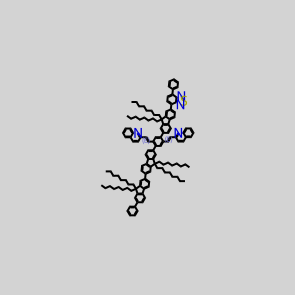 CCCCCCCCC1(CCCCCCCC)c2cc(-c3ccccc3)ccc2-c2ccc(-c3ccc4c(c3)C(CCCCCCCC)(CCCCCCCC)c3cc(-c5cc(/C=C/c6ccc7ccccc7n6)c(-c6ccc7c(c6)C(CCCCCCCC)(CCCCCCCC)c6cc(-c8ccc(-c9ccccc9)c9nsnc89)ccc6-7)cc5/C=C/c5ccc6ccccc6n5)ccc3-4)cc21